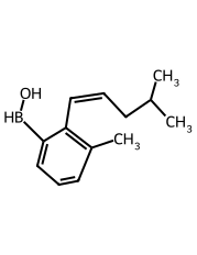 Cc1cccc(BO)c1/C=C\CC(C)C